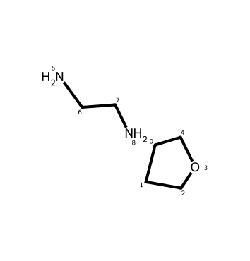 C1CCOC1.NCCN